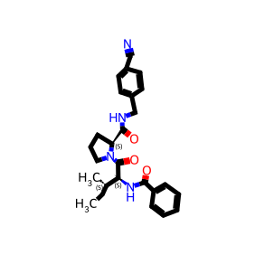 CC[C@H](C)[C@H](NC(=O)c1ccccc1)C(=O)N1CCC[C@H]1C(=O)NCc1ccc(C#N)cc1